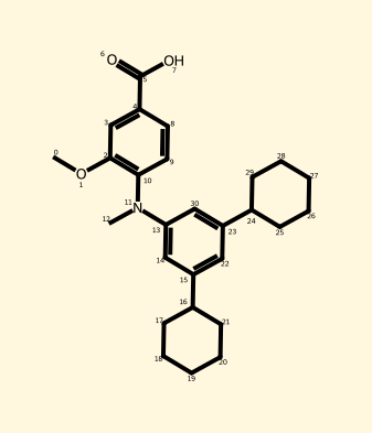 COc1cc(C(=O)O)ccc1N(C)c1cc(C2CCCCC2)cc(C2CCCCC2)c1